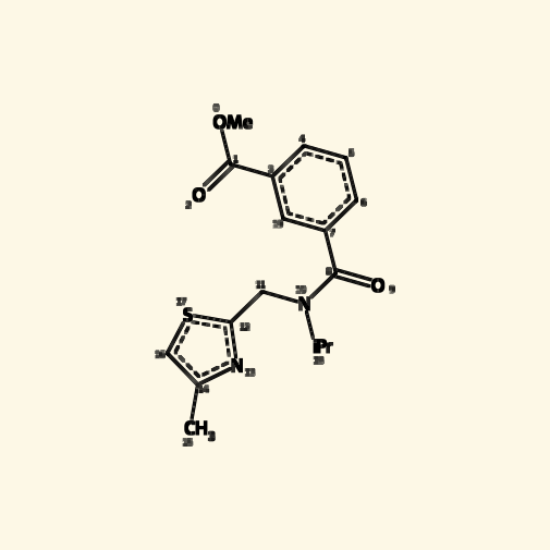 COC(=O)c1cccc(C(=O)N(Cc2nc(C)cs2)C(C)C)c1